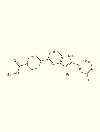 Cc1cc(-c2[nH]c3ccc(C4CCN(C(=O)OC(C)(C)C)CC4)cc3c2C(C)C)ccn1